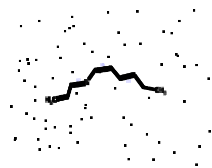 C=C/C=N/C=C\C=C\CC